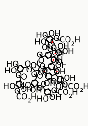 O=C(O)COc1cc(C(=O)Oc2cc(C(=O)OCC3OC(OC(=O)c4cc(O)c(O)c(OC(=O)c5cc(O)c(OCC(=O)O)c(O)c5)c4)C(OC(=O)c4cc(O)c(O)c(OC(=O)c5cc(O)c(O)c(OCC(=O)O)c5)c4)C(OC(=O)c4cc(O)c(O)c(C(=O)c5cc(O)c(OCC(=O)O)c(O)c5)c4)C3OC(=O)c3cc(O)c(O)c(OC(=O)c4cc(O)c(O)c(OCC(=O)O)c4)c3)cc(O)c2O)cc(O)c1O